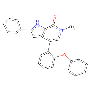 Cn1cc(-c2ccccc2Oc2ccccc2)c2cc(-c3ccccc3)[nH]c2c1=O